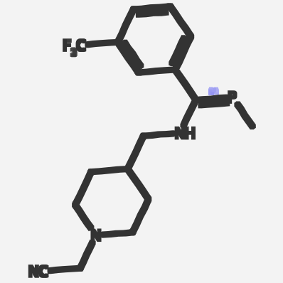 C/P=C(\NCC1CCN(CC#N)CC1)c1cccc(C(F)(F)F)c1